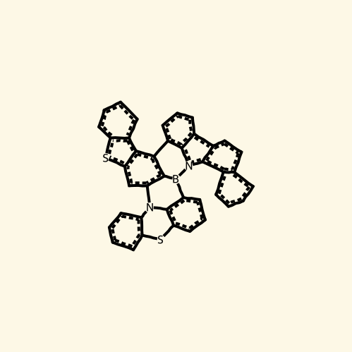 c1ccc2c(c1)Sc1cccc3c1N2c1cc2sc4ccccc4c2c2c1B3n1c3c-2cccc3c2ccc3ccccc3c21